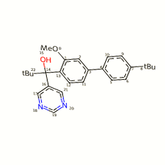 COc1cc(-c2ccc(C(C)(C)C)cc2)ccc1C(O)(c1cncnc1)C(C)(C)C